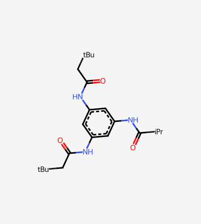 CC(C)C(=O)Nc1cc(NC(=O)CC(C)(C)C)cc(NC(=O)CC(C)(C)C)c1